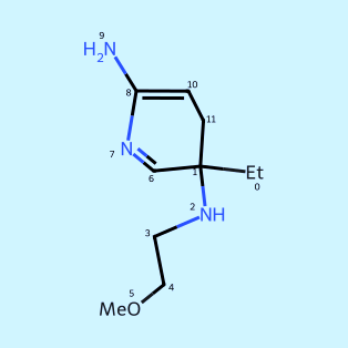 CCC1(NCCOC)C=NC(N)=CC1